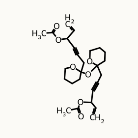 C=CC(C#CCC1(OC2(CC#CC(C=C)OC(C)=O)CCCCO2)CCCCO1)OC(C)=O